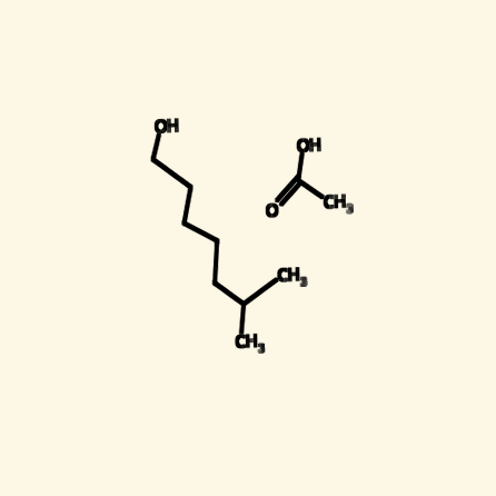 CC(=O)O.CC(C)CCCCCO